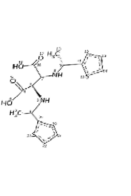 CC(N[C@@H](C(=O)O)C(N[C@H](C)c1cccs1)C(=O)O)c1cccs1